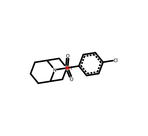 O=S(=O)(c1ccc(Cl)cc1)N1C2CCCC1CNC2